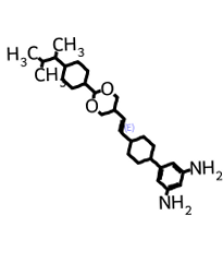 CC(C)C(C)C1CCC(C2OCC(/C=C/C3CCC(c4cc(N)cc(N)c4)CC3)CO2)CC1